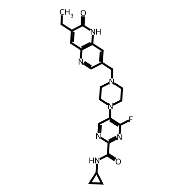 CCc1cc2ncc(CN3CCN(c4cnc(C(=O)NC5CC5)nc4F)CC3)cc2[nH]c1=O